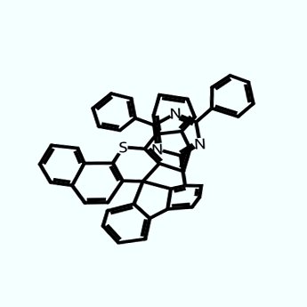 c1ccc(-c2nc(-c3ccccc3)nc(-c3cccc4c3C3(c5ccccc5-4)c4ccc5ccccc5c4Sc4c3ccc3ccccc43)n2)cc1